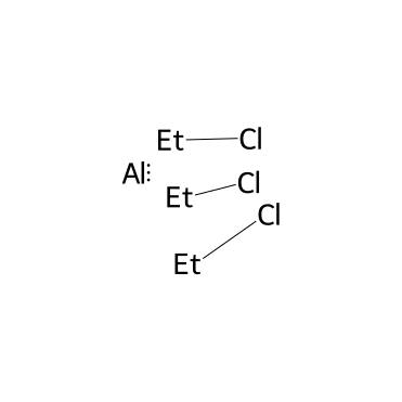 CCCl.CCCl.CCCl.[Al]